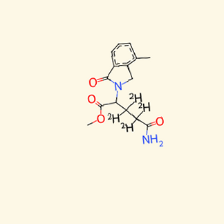 [2H]C([2H])(C(N)=O)C([2H])([2H])C(C(=O)OC)N1Cc2c(C)cccc2C1=O